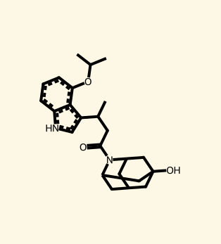 CC(C)Oc1cccc2[nH]cc(C(C)CC(=O)N3C4CC5CC3CC(O)(C5)C4)c12